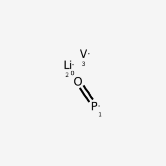 O=[P].[Li].[V]